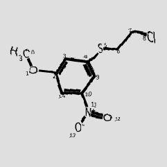 COc1cc(SCCCl)cc([N+](=O)[O-])c1